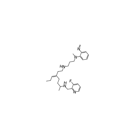 C=Nc1ccccc1N(C)CCCNCC/C(=C/CC)CCC(C)NCc1ncccc1F